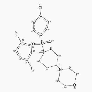 O=S(=O)(c1ccc(Cl)cc1)C1(c2cc(F)ccc2F)CCC(N2CCOCC2)CC1